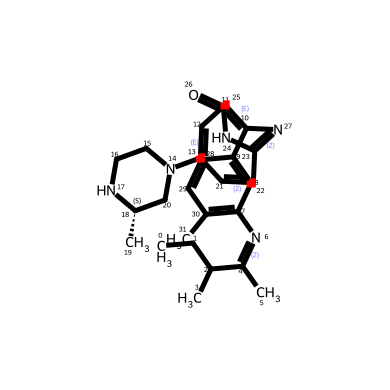 CCC(C)/C(C)=N\c1cc(C2=C\C=C(N3CCN[C@@H](C)C3)/C=C\C(NC=O)=N\2)ccc1C